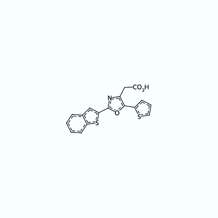 O=C(O)Cc1nc(-c2cc3ccccc3s2)oc1-c1cccs1